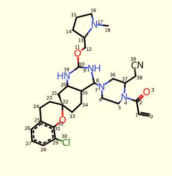 C=CC(=O)N1CCN(C2NC(OCC3CCCN3C)NC3C[C@@]4(CCc5cccc(Cl)c5O4)CCC32)CC1CC#N